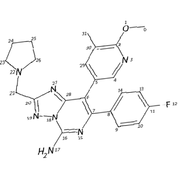 COc1ncc(-c2c(-c3ccc(F)cc3)nc(N)n3nc(CN4CCCC4)nc23)cc1C